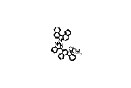 CC1(C)c2ccccc2-c2c1cc(-c1nc(-n3c4ccc5ccccc5c4c4c5ccccc5ccc43)nc3ccccc13)c1ccccc21